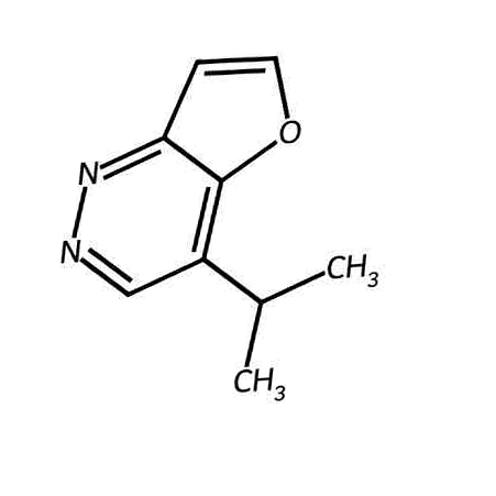 CC(C)c1cnnc2ccoc12